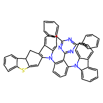 C1=C2Sc3ccccc3C2Cc2c1n(-c1cccc(-n3c4ccccc4c4ccccc43)c1-c1nc(-c3ccccc3)nc(-c3ccccc3)n1)c1ccccc21